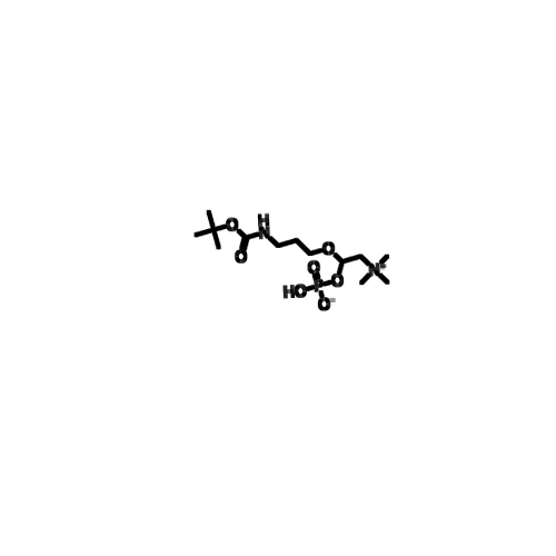 CC(C)(C)OC(=O)NCCCOC(C[N+](C)(C)C)OP(=O)([O-])O